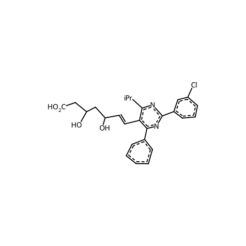 CC(C)c1nc(-c2cccc(Cl)c2)nc(-c2ccccc2)c1/C=C/C(O)CC(O)CC(=O)O